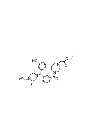 C=CCN1C[C@H](C)N([C@@H](c2cccc(O)c2)c2cccc(C(=O)N3CCCN(CC(=O)OCC)CC3)c2)C[C@H]1C